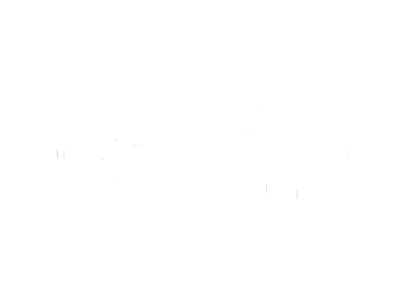 C=C(C)C(=O)Oc1cccc(OCC(=O)OCC(F)(F)S(=O)(=O)O)c1